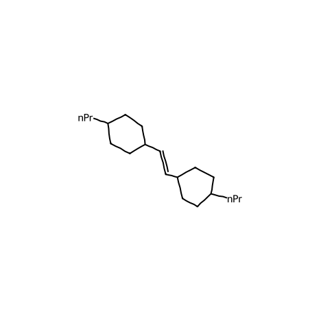 CCCC1CCC(C=CC2CCC(CCC)CC2)CC1